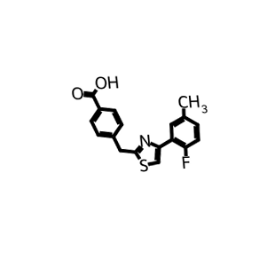 Cc1ccc(F)c(-c2csc(Cc3ccc(C(=O)O)cc3)n2)c1